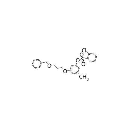 Cc1cc(OCCCOCc2ccccc2)cc(OS(=O)(=O)c2ccccc2Cl)c1